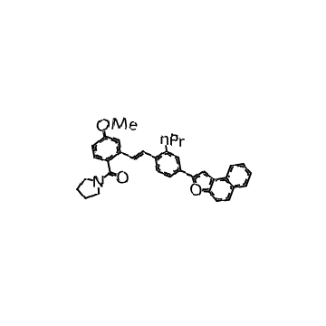 CCCc1cc(-c2cc3c(ccc4ccccc43)o2)ccc1/C=C/c1cc(OC)ccc1C(=O)N1CCCC1